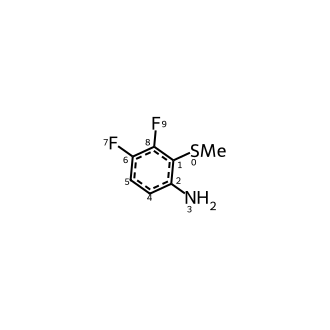 CSc1c(N)ccc(F)c1F